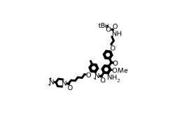 COc1c(C(=O)c2cccc(OCCCNC(=O)OC(C)(C)C)c2)ccc(C(=O)N(C)c2ccc(C)cc2OCCCCCC(=O)N2CCC(N(C)C)CC2)c1N